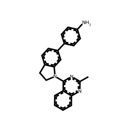 Cc1nc(N2CCc3ccc(-c4ccc(N)cc4)cc32)c2ccccc2n1